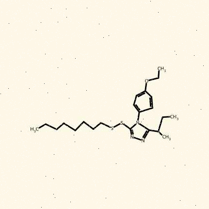 CCCCCCCCSSc1nnc(C(C)CC)n1-c1ccc(OCC)cc1